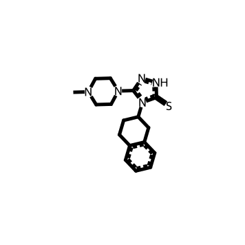 CN1CCN(c2n[nH]c(=S)n2C2CCc3ccccc3C2)CC1